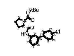 CC(C)(C)OC(=O)N1CCC[C@H]1C(=O)Nc1cccc(-c2ccc(Cl)cc2)c1